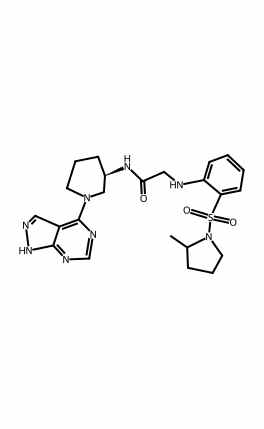 CC1CCCN1S(=O)(=O)c1ccccc1NCC(=O)N[C@@H]1CCCN(c2ncnc3[nH]ncc23)C1